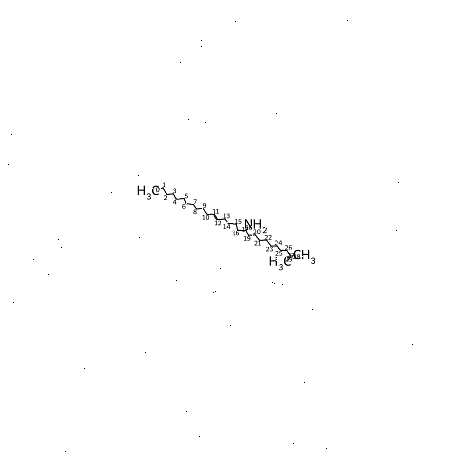 CCCCCCCCCCCC=CCCCCC(N)CCCCCCCCC(C)C